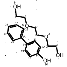 OCCOCCOCCO.Oc1ccc(-c2ccccc2)cc1